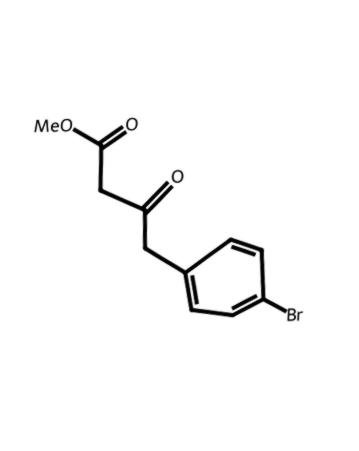 COC(=O)CC(=O)Cc1ccc(Br)cc1